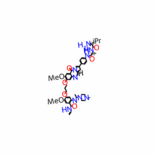 C=CNC(=O)c1cc(OC)c(OCCCOc2cc3c(cc2OC)C(=O)N2C=C(c4ccc(NC(=O)[C@H](C)NC(=O)[C@@H](N)C(C)C)cc4)C[C@H]2C=N3)cc1N(C)C(C)N1CCN(C)CC1